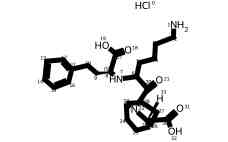 Cl.NCCCCC(N[C@@H](CCc1ccccc1)C(=O)O)C(=O)N1C2CCC(CC2)[C@H]1C(=O)O